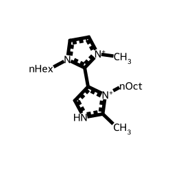 CCCCCCCC[n+]1c(-c2n(CCCCCC)cc[n+]2C)c[nH]c1C